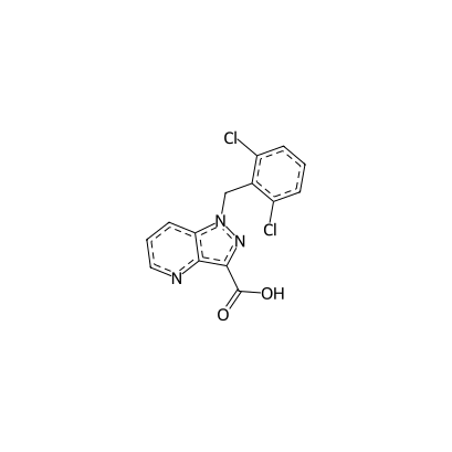 O=C(O)c1nn(Cc2c(Cl)cccc2Cl)c2cccnc12